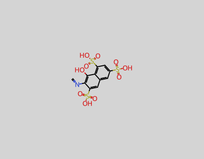 C=Nc1c(S(=O)(=O)O)cc2cc(S(=O)(=O)O)cc(S(=O)(=O)O)c2c1O